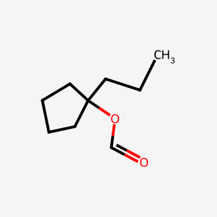 CCCC1(OC=O)CCCC1